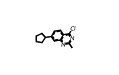 Cc1nc(Cl)c2ccc(C3CCCC3)cc2n1